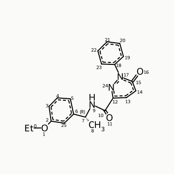 CCOc1cccc([C@@H](C)NC(=O)c2ccc(=O)n(-c3ccccc3)n2)c1